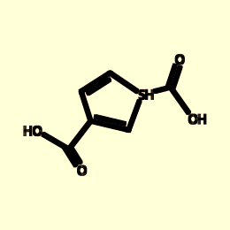 O=C(O)C1=C[SH](C(=O)O)C=C1